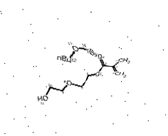 C=C(C)C(=O)OCCOCCO.CCCCOCCCC